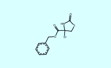 CCC1(C(=O)OCc2ccccc2)CSC(=O)N1